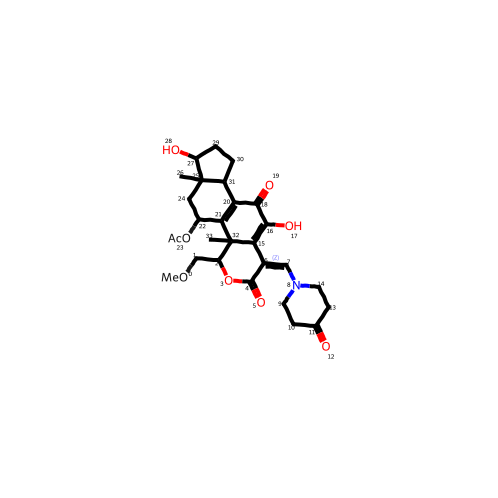 COCC1OC(=O)/C(=C\N2CCC(=O)CC2)C2=C(O)C(=O)C3=C(C(OC(C)=O)CC4(C)C(O)CCC34)C21C